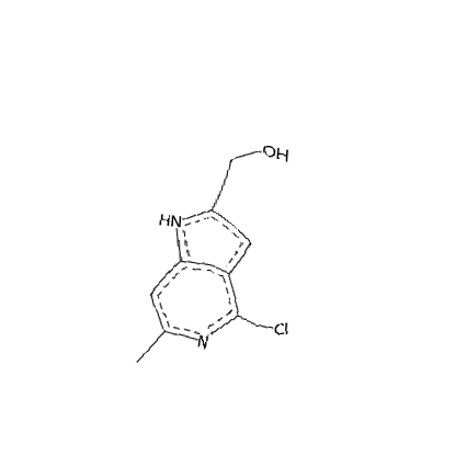 Cc1cc2[nH]c(CO)cc2c(Cl)n1